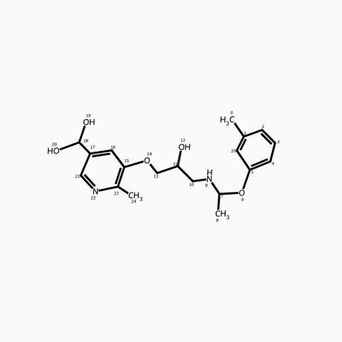 Cc1cccc(OC(C)NCC(O)COc2cc(C(O)O)cnc2C)c1